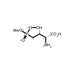 COP(=O)(CC[C@@H](N)C(=O)O)OO